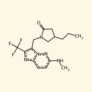 CCCC1CC(=O)N(Cc2c(C(F)(F)F)nc3ccc(NC)nn23)C1